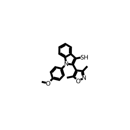 COc1ccc(-n2c(-c3c(C)noc3C)c(S)c3ccccc32)cc1